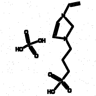 C=CN1C=CN(CCCS(=O)(=O)O)C1.O=S(=O)(O)O